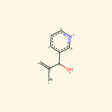 C=C(C(C)C)C(O)c1cccnc1